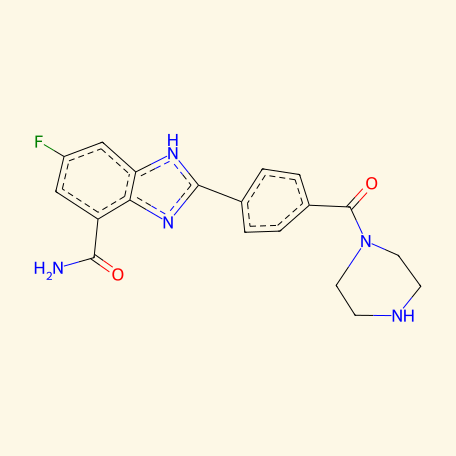 NC(=O)c1cc(F)cc2[nH]c(-c3ccc(C(=O)N4CCNCC4)cc3)nc12